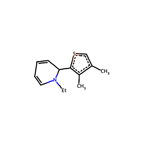 CCN1C=CC=CC1c1scc(C)c1C